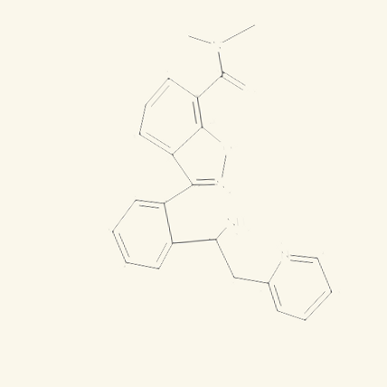 CN(C)C(=O)c1cccc2c(-c3ccccc3C(N)Cc3ccccn3)noc12